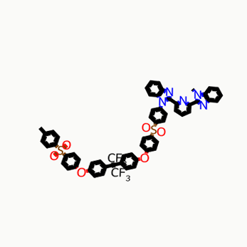 Cc1ccc(S(=O)(=O)c2ccc(Oc3ccc(C(c4ccc(Oc5ccc(S(=O)(=O)c6ccc(-n7c(-c8cccc(-c9nc%10ccccc%10n9C)n8)nc8ccccc87)cc6)cc5)cc4)(C(F)(F)F)C(F)(F)F)cc3)cc2)cc1